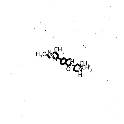 Cc1cn2nc(-c3ccc4c(=O)n(C5CCNC(C)(C)C5)ncc4c3)cc(C)c2n1